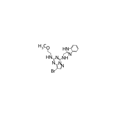 COCCNc1nc(NCc2nc3ccccc3[nH]2)n2ncc(Br)c2n1